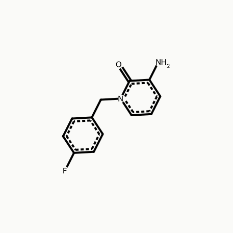 Nc1cccn(Cc2ccc(F)cc2)c1=O